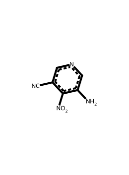 N#Cc1cncc(N)c1[N+](=O)[O-]